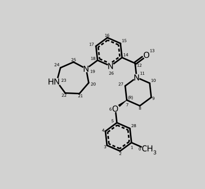 Cc1cccc(O[C@@H]2CCCN(C(=O)c3cccc(N4CCCNCC4)n3)C2)c1